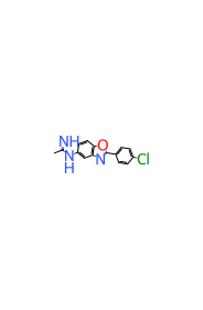 CC(=N)Nc1ccc2oc(-c3ccc(Cl)cc3)nc2c1